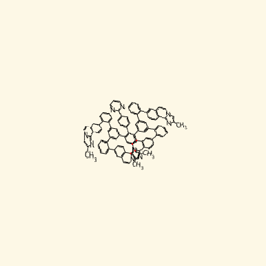 Cc1cn2ccc3cc(-c4ccccc4-c4cc(-c5ccccc5-c5ccc6c(ccn7cc(C)nc67)c5)cc(-c5cccc(-c6cc(-c7ccccc7-c7ccc8c(ccn9cc(C)nc89)c7)cc(-c7ccccc7-c7ccc8c(ccn9cc(C)nc89)c7)c6)c5-c5ccc(-c6ncccn6)cc5)c4)ccc3c2n1